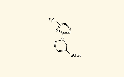 O=S(=O)(O)C1=CC=CN(c2cccc(C(F)(F)F)n2)C1